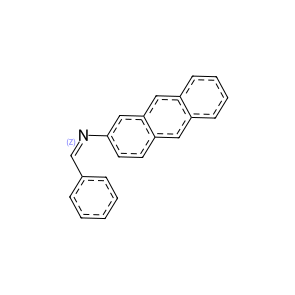 C(=N/c1ccc2cc3ccccc3cc2c1)/c1ccccc1